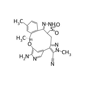 Cc1ccc2c(c1)[C@@H](C)Oc1cc(cnc1N)-c1c(nn(C)c1C#N)CC1C2=NNS1(=O)=O